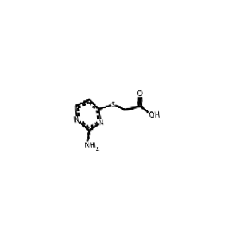 Nc1nccc(SCC(=O)O)n1